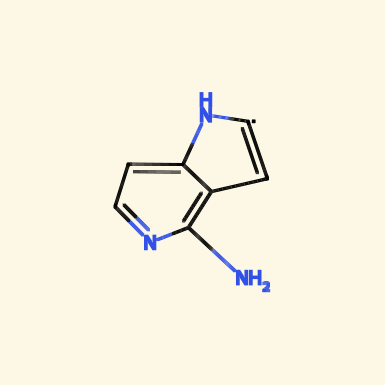 Nc1nccc2[nH][c]cc12